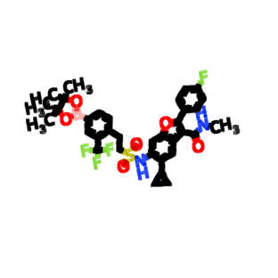 CNC(=O)c1c(-c2ccc(F)cc2)oc2cc(NS(=O)(=O)CCc3ccc(B4OC(C)(C)C(C)(C)O4)cc3C(F)(F)F)c(C3CC3)cc12